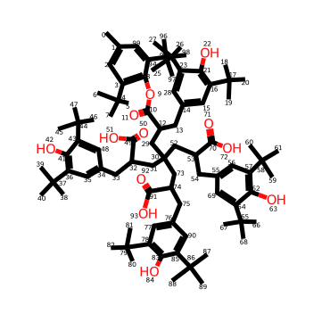 Cc1cc(C(C)(C)C)c(OC(=O)C(Cc2cc(C(C)(C)C)c(O)c(C(C)(C)C)c2)CC(CC(Cc2cc(C(C)(C)C)c(O)c(C(C)(C)C)c2)C(=O)O)(CC(Cc2cc(C(C)(C)C)c(O)c(C(C)(C)C)c2)C(=O)O)CC(Cc2cc(C(C)(C)C)c(O)c(C(C)(C)C)c2)C(=O)O)c(C(C)(C)C)c1